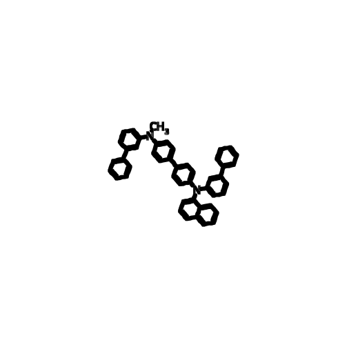 CN(c1ccc(-c2ccc(N(c3cccc(-c4ccccc4)c3)c3cccc4ccccc34)cc2)cc1)c1cccc(-c2ccccc2)c1